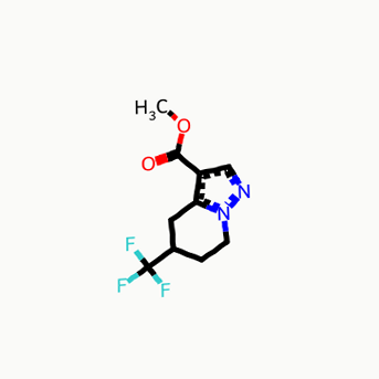 COC(=O)c1cnn2c1CC(C(F)(F)F)CC2